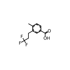 Cc1ccc(C(=O)O)cc1CCC(F)(F)F